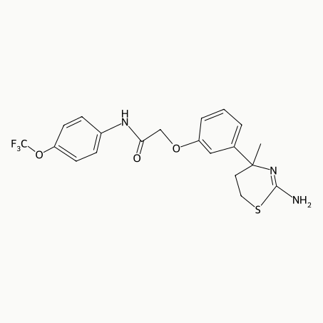 CC1(c2cccc(OCC(=O)Nc3ccc(OC(F)(F)F)cc3)c2)CCSC(N)=N1